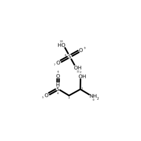 NC(O)C[SH](=O)=O.O=S(=O)(O)O